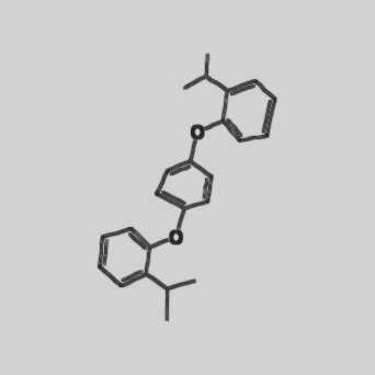 CC(C)c1ccccc1Oc1ccc(Oc2ccccc2C(C)C)cc1